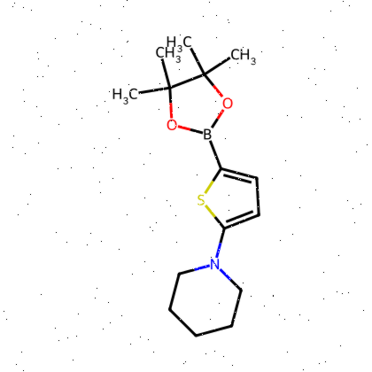 CC1(C)OB(c2ccc(N3CCCCC3)s2)OC1(C)C